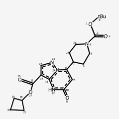 CC(C)(C)OC(=O)N1CCC(c2cc(=O)[nH]c3c(C(=O)OC4CCC4)cnn23)CC1